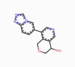 OC1COCc2c(-c3ccc4nncn4c3)cncc21